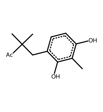 CC(=O)C(C)(C)Cc1ccc(O)c(C)c1O